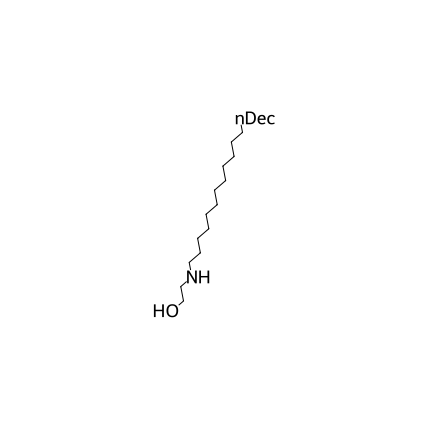 CCCCCCCCCCCCCCCCCCCCCCNCCO